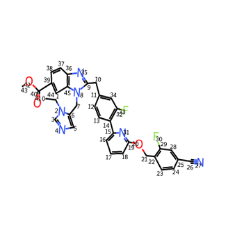 CCn1cncc1Cn1c(Cc2ccc(-c3cccc(OCc4ccc(C#N)cc4F)n3)c(F)c2)nc2ccc(C(=O)OC)cc21